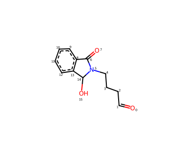 O=CCCCN1C(=O)c2ccccc2C1O